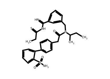 CCC(=S)NC(=N)c1cccc(CN(C(=O)Cc2ccc(-c3ccccc3S(N)(=O)=O)cc2)C(C)CC)c1